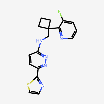 Fc1cccnc1C1(CNc2ccc(-c3nc[c]s3)nn2)CCC1